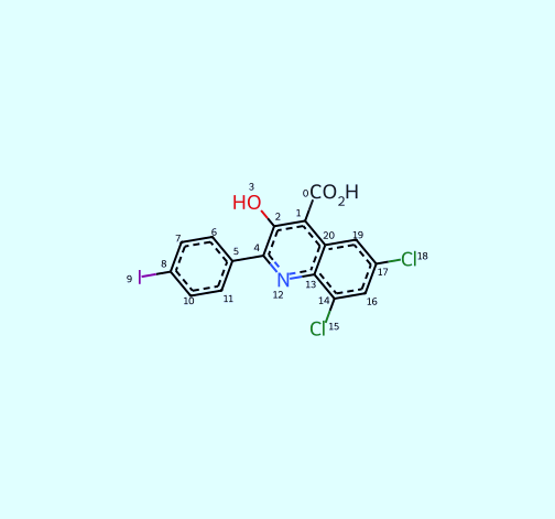 O=C(O)c1c(O)c(-c2ccc(I)cc2)nc2c(Cl)cc(Cl)cc12